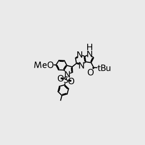 COc1ccc2c(-c3cnc4[nH]cc(C(=O)C(C)(C)C)c4n3)cn(S(=O)(=O)c3ccc(C)cc3)c2c1